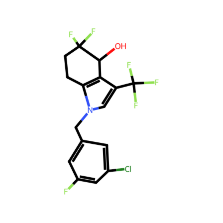 OC1c2c(C(F)(F)F)cn(Cc3cc(F)cc(Cl)c3)c2CCC1(F)F